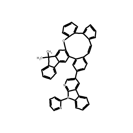 CC1(C)c2ccccc2-c2cc3c(cc21)Oc1ccccc1-c1ccccc1/C=C\c1ccc(-c2cnc4c(c2)c2ccccc2n4-c2ccccn2)cc1-3